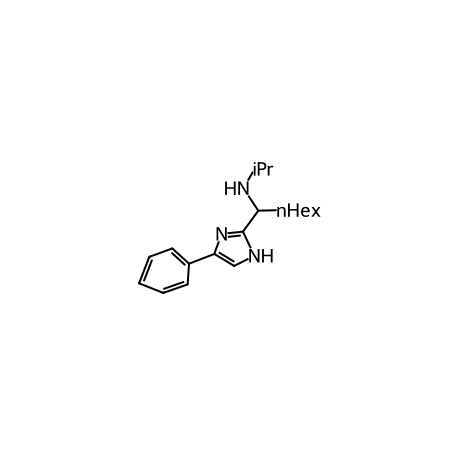 CCCCCCC(NC(C)C)c1nc(-c2ccccc2)c[nH]1